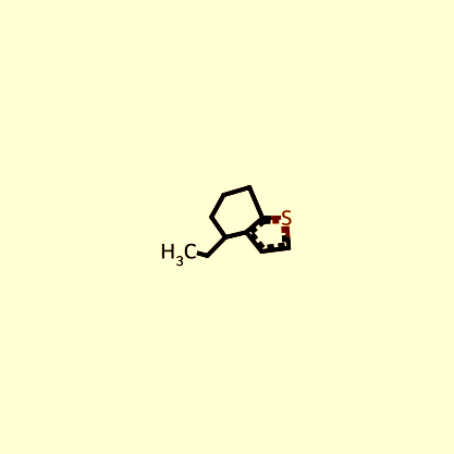 CCC1CCCc2sccc21